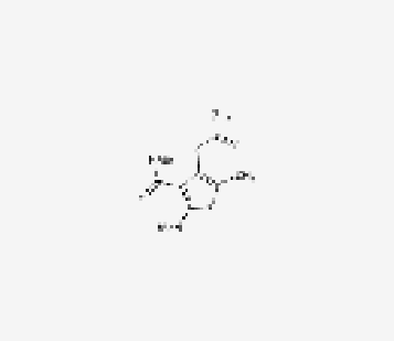 CNC(=O)c1c(NC)oc(C)c1CC(N)=O